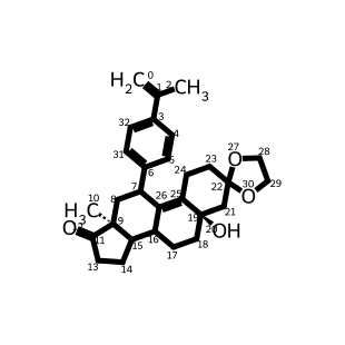 C=C(C)c1ccc(C2C[C@]3(C)C(=O)CCC3C3CC[C@@]4(O)CC5(CCC4=C23)OCCO5)cc1